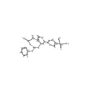 O=C1CN(Cc2ncccn2)Cc2cc(-c3ccc(C(F)(F)F)cc3)ccc2O1